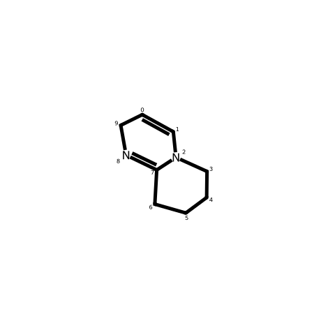 C1=CN2CCCCC2=NC1